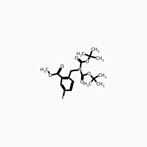 COC(=O)c1cc(F)ccc1CN(C(=O)OC(C)(C)C)C(=O)OC(C)(C)C